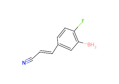 Bc1cc(/C=C/C#N)ccc1F